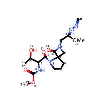 C=N/N=C(/CN1CC2(CCCN2C(=O)C(NC(=O)OC(C)(C)C)C(C)O)C1=O)OC